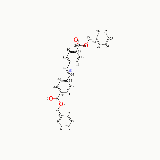 O=C(OCc1ccccc1)c1ccc(/C=C/c2ccc(C(=O)OCc3ccccc3)cc2)cc1